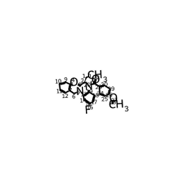 CC[C@@H]1C(=O)N(Cc2ccccc2)c2cc(F)ccc2N1C(=O)c1ccc(OC)cc1